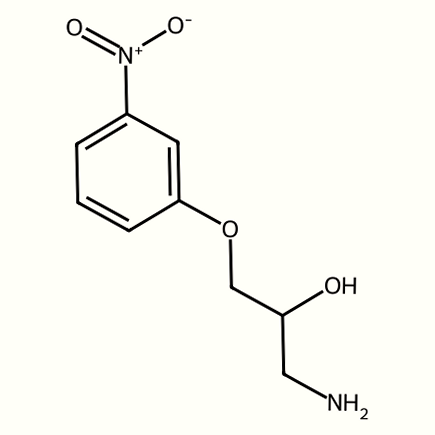 NCC(O)COc1cccc([N+](=O)[O-])c1